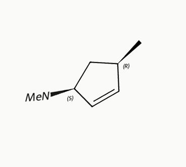 CN[C@@H]1C=C[C@H](C)C1